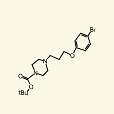 CC(C)(C)OC(=O)N1CCN(CCCOc2ccc(Br)cc2)CC1